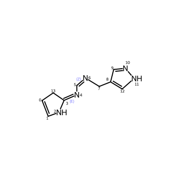 C1=CN/C(=N/C=N\Cc2cn[nH]c2)C1